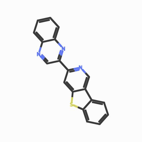 c1ccc2nc(-c3cc4sc5ccccc5c4cn3)cnc2c1